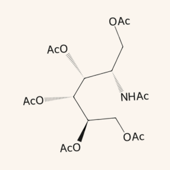 CC(=O)N[C@@H](COC(C)=O)[C@@H](OC(C)=O)[C@@H](OC(C)=O)[C@@H](COC(C)=O)OC(C)=O